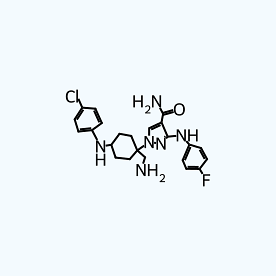 NCC1(n2cc(C(N)=O)c(Nc3ccc(F)cc3)n2)CCC(Nc2ccc(Cl)cc2)CC1